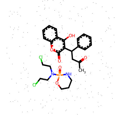 CC(=O)CC(c1ccccc1)c1c(O)c2ccccc2oc1=O.O=P1(N(CCCl)CCCl)NCCCO1